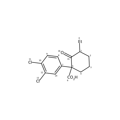 CCC1CCCC(C(=O)O)(c2ccc(Cl)c(Cl)c2)C1=O